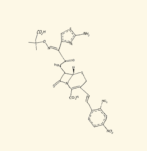 CC(C)(ON=C(C(=O)NC1C(=O)N2C(C(=O)O)=C(C=Cc3ccc([N+](=O)[O-])cc3[N+](=O)[O-])CS[C@@H]12)c1csc(N)n1)C(=O)O